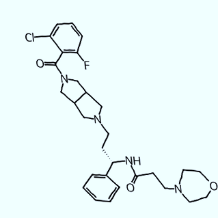 O=C(CCN1CCOCC1)N[C@@H](CCN1CC2CN(C(=O)c3c(F)cccc3Cl)CC2C1)c1ccccc1